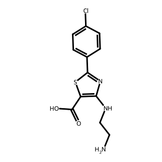 NCCNc1nc(-c2ccc(Cl)cc2)sc1C(=O)O